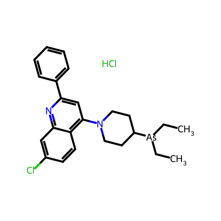 CC[As](CC)C1CCN(c2cc(-c3ccccc3)nc3cc(Cl)ccc23)CC1.Cl